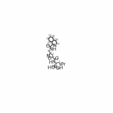 CC(C)CC(NC(=O)C1CC(CNC(=O)c2nccc3ccccc23)=NO1)B(O)O